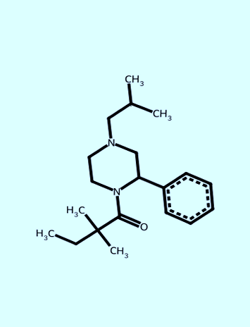 CCC(C)(C)C(=O)N1CCN(C[C](C)C)CC1c1ccccc1